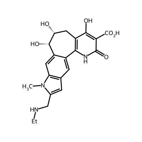 CCNCc1cc2cc3c(cc2n1C)[C@H](O)[C@H](O)Cc1c-3[nH]c(=O)c(C(=O)O)c1O